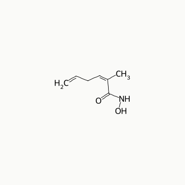 C=CCC=C(C)C(=O)NO